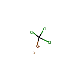 SC(Cl)(Cl)Cl.[S]